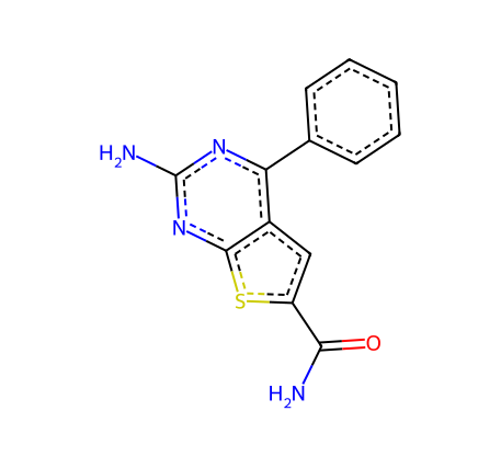 NC(=O)c1cc2c(-c3ccccc3)nc(N)nc2s1